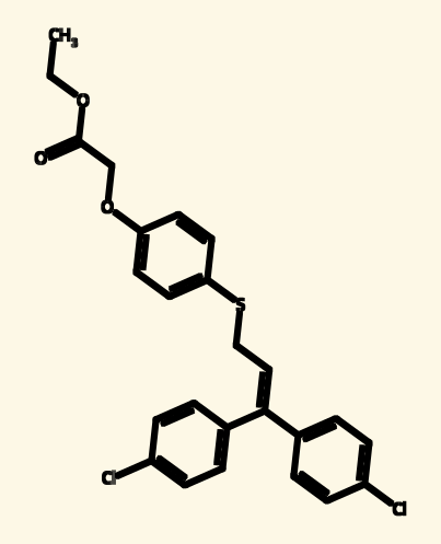 CCOC(=O)COc1ccc(SCC=C(c2ccc(Cl)cc2)c2ccc(Cl)cc2)cc1